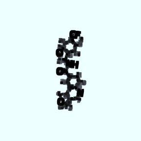 CC1(C)OCc2c1cnc1ccc(C(=O)N[C@H]3COc4cc(C(F)(F)F)ccc43)cc21